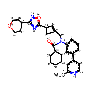 COc1cc(-c2cccc(N(CC3=CC(c4nc(C5CCOCC5)no4)C3)C(=O)C3CCCCC3)c2)ccn1